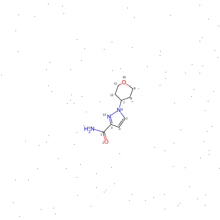 NC(=O)c1ccn(C2CCOCC2)n1